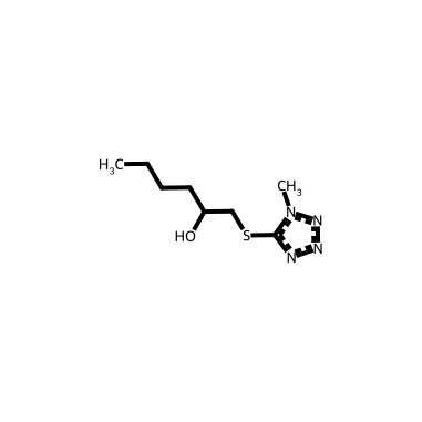 CCCCC(O)CSc1nnnn1C